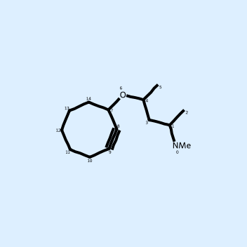 CNC(C)CC(C)OC1C#CCCCCC1